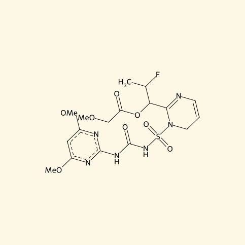 COCC(=O)OC(C1=NC=CCN1S(=O)(=O)NC(=O)Nc1nc(OC)cc(OC)n1)C(C)F